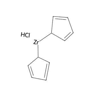 C1=C[CH]([Zr][CH]2C=CC=C2)C=C1.Cl